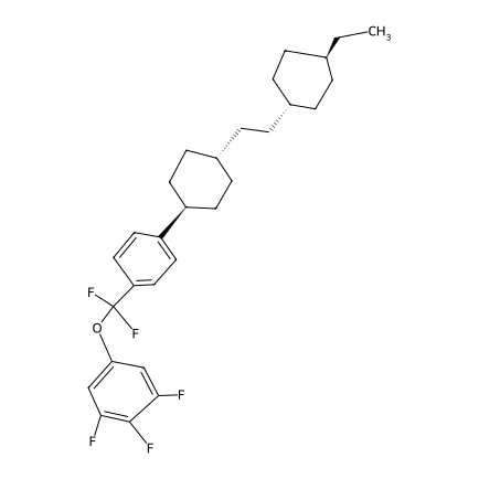 CC[C@H]1CC[C@H](CC[C@H]2CC[C@H](c3ccc(C(F)(F)Oc4cc(F)c(F)c(F)c4)cc3)CC2)CC1